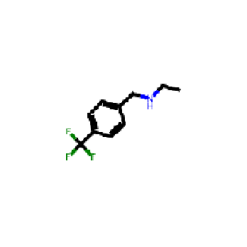 CCNCc1ccc(C(F)(F)F)cc1